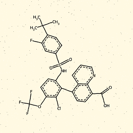 CC(C)(C)c1ccc(S(=O)(=O)Nc2ccc(OC(F)(F)F)c(Cl)c2-c2ccc(C(=O)O)c3ncccc23)cc1F